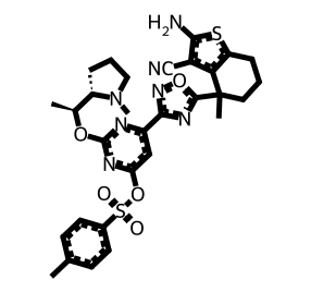 Cc1ccc(S(=O)(=O)Oc2cc(-c3noc(C4(C)CCCc5sc(N)c(C#N)c54)n3)nc(O[C@@H](C)[C@@H]3CCCN3C)n2)cc1